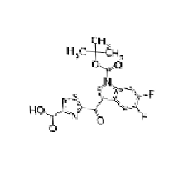 CC(C)(C)OC(=O)n1cc(C(=O)c2nc(C(=O)O)cs2)c2cc(F)c(F)cc21